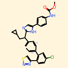 C=C(/C=C\C(=C/C)c1cc(Cl)ccc1-c1csnn1)C(CC1CC1)c1ncc(-c2ccc(NC(=O)OC)cc2)[nH]1